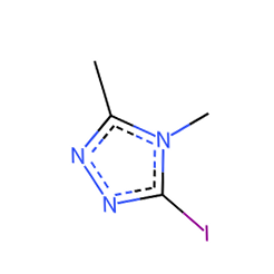 Cc1nnc(I)n1C